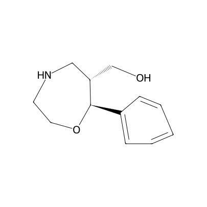 OC[C@H]1CNCCO[C@@H]1c1ccccc1